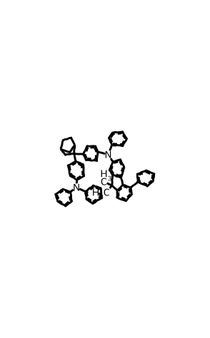 CC1(C)c2cc(N(c3ccccc3)c3ccc(C4(c5ccc(N(c6ccccc6)c6ccccc6)cc5)CC5CCC4C5)cc3)ccc2-c2c(-c3ccccc3)cccc21